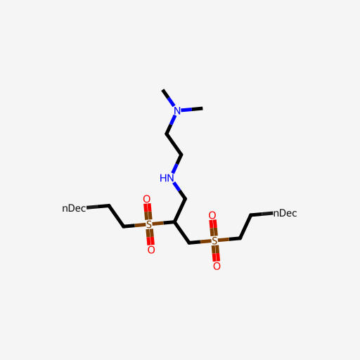 CCCCCCCCCCCCS(=O)(=O)CC(CNCCN(C)C)S(=O)(=O)CCCCCCCCCCCC